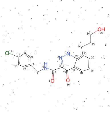 Cn1nc(C(=O)NCc2ccc(Cl)cc2)c(=O)c2cccc(CCCO)c21